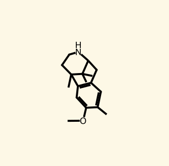 COc1cc2c(cc1C)CC1NCCC2(C)C1(C)C